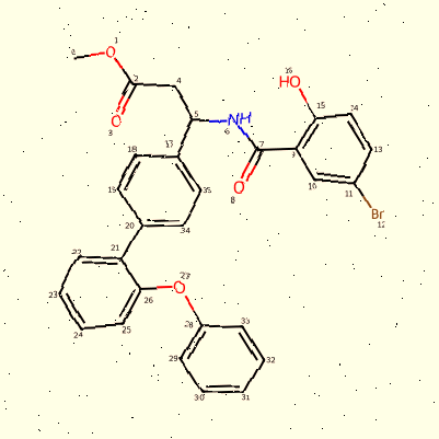 COC(=O)CC(NC(=O)c1cc(Br)ccc1O)c1ccc(-c2ccccc2Oc2ccccc2)cc1